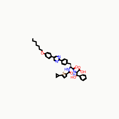 CCCCCCCOc1ccc(-c2cnc(-c3ccc(C[C@H](NC(=O)c4ccc(C5CC5)s4)C(=O)NC(C(=O)O)C(O)c4ccccc4)cc3)nc2)cc1